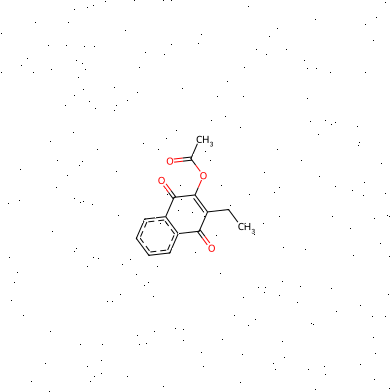 CCC1=C(OC(C)=O)C(=O)c2ccccc2C1=O